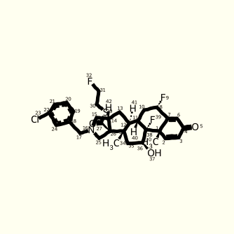 C[C@]12C=CC(=O)C=C1[C@@H](F)C[C@H]1[C@@H]3C[C@H]4CN(Cc5cccc(Cl)c5)C[C@@]4(C(=O)SCCF)[C@@]3(C)C[C@H](O)[C@@]12F